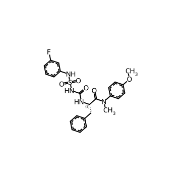 COc1ccc(N(C)C(=O)[C@H](Cc2ccccc2)NC(=O)NS(=O)(=O)Nc2cccc(F)c2)cc1